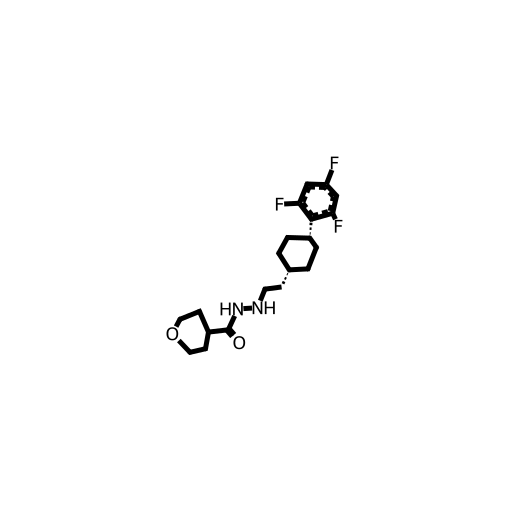 O=C(NNCC[C@H]1CC[C@@H](c2c(F)cc(F)cc2F)CC1)C1CCOCC1